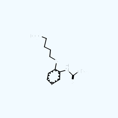 CCCCCCCCCCC(=S)Nc1ccccc1SCCCCC(=O)O